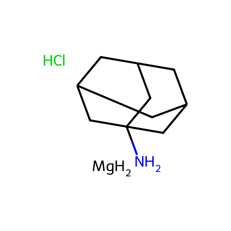 Cl.NC12CC3CC(CC(C3)C1)C2.[MgH2]